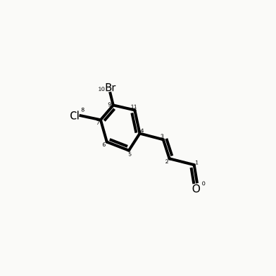 O=C/C=C/c1ccc(Cl)c(Br)c1